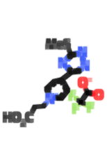 CSc1nncc(-c2cc[n+](CCC(=O)O)cc2)n1.O=C([O-])C(F)(F)F